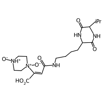 CC(C)C1NC(=O)C(CCCCNC(=O)/C=C(/C(=O)O)[N+]2([O-])CC[NH+]([O-])CC2)NC1=O